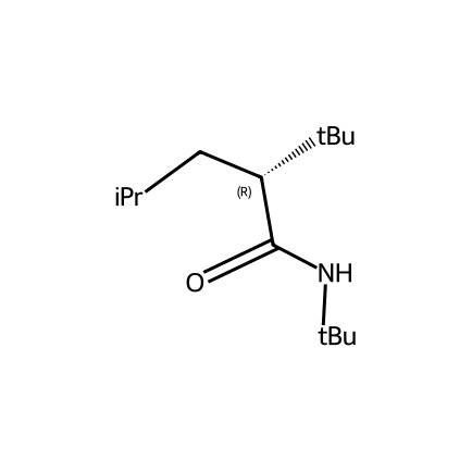 CC(C)C[C@@H](C(=O)NC(C)(C)C)C(C)(C)C